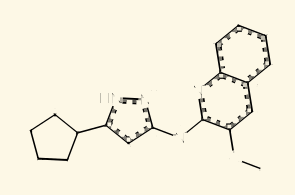 COc1cc2ccccc2nc1Nc1cc(C2CCCC2)[nH]n1